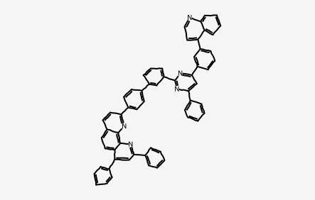 c1ccc(-c2cc(-c3cccc(-c4ccnc5ccccc45)c3)nc(-c3cccc(-c4ccc(-c5ccc6ccc7c(-c8ccccc8)cc(-c8ccccc8)nc7c6n5)cc4)c3)n2)cc1